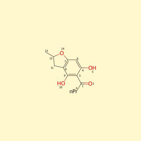 CCCC(=O)c1c(O)cc2c(c1O)CC(C)O2